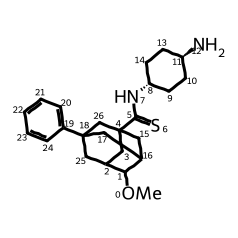 COC1C2CC3(C(=S)N[C@H]4CC[C@H](N)CC4)CC1CC(c1ccccc1)(C2)C3